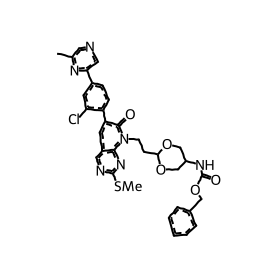 CSc1ncc2cc(-c3ccc(-c4cncc(C)n4)cc3Cl)c(=O)n(CCC3OCC(NC(=O)OCc4ccccc4)CO3)c2n1